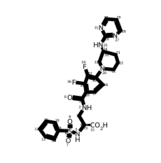 O=C(NC[C@H](NS(=O)(=O)c1ccccc1)C(=O)O)c1ccc(N2CCC[C@H](Nc3ncccn3)C2)c(F)c1F